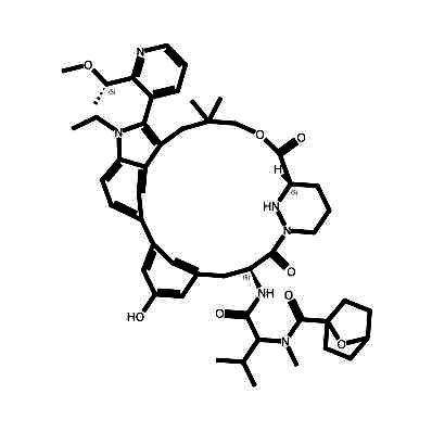 CCn1c(-c2cccnc2[C@H](C)OC)c2c3cc(ccc31)-c1cc(O)cc(c1)C[C@H](NC(=O)C(C(C)C)N(C)C(=O)C13CCC(CC1)O3)C(=O)N1CCC[C@H](N1)C(=O)OCC(C)(C)C2